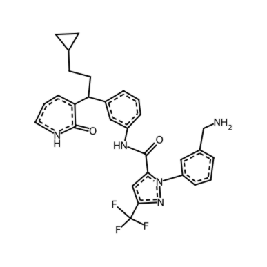 NCc1cccc(-n2nc(C(F)(F)F)cc2C(=O)Nc2cccc(C(CCC3CC3)c3ccc[nH]c3=O)c2)c1